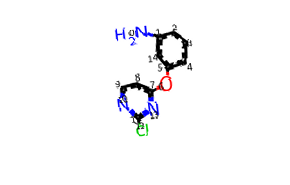 Nc1cccc(Oc2ccnc(Cl)n2)c1